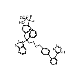 O=P(O)(O)C(F)(F)c1ccc(CC(CCSCc2ccc(-c3ccccc3-c3nnn[nH]3)cc2)(c2ccccc2)n2nnc3ccccc32)cc1